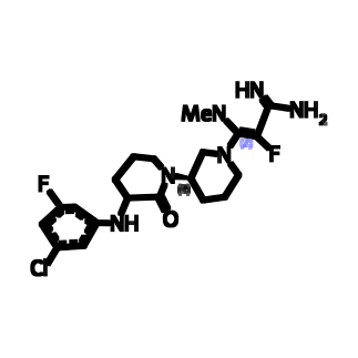 CN/C(=C(/F)C(=N)N)N1CCC[C@@H](N2CCCC(Nc3cc(F)cc(Cl)c3)C2=O)C1